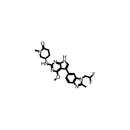 COc1nc(N[C@@H]2CCC(=O)N(C)C2)nc2[nH]cc(-c3ccc4nc(C)n(CC(F)F)c4c3)c12